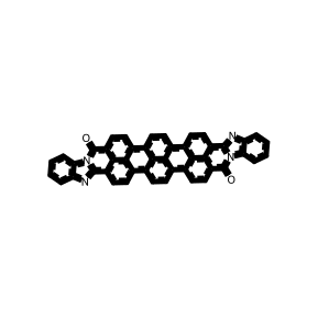 O=c1c2ccc3c4ccc5c6ccc7c8c(ccc(c9ccc(c%10ccc(c2c3%10)c2nc3ccccc3n12)c4c95)c68)c(=O)n1c2ccccc2nc71